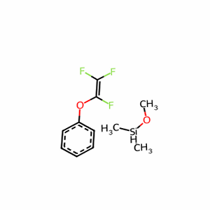 CO[SiH](C)C.FC(F)=C(F)Oc1ccccc1